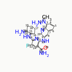 CN(N)c1cccc2cc(Nc3nc(N[C@@H]4CCCC[C@@H]4N)c(F)cc3C(N)=O)cnc12